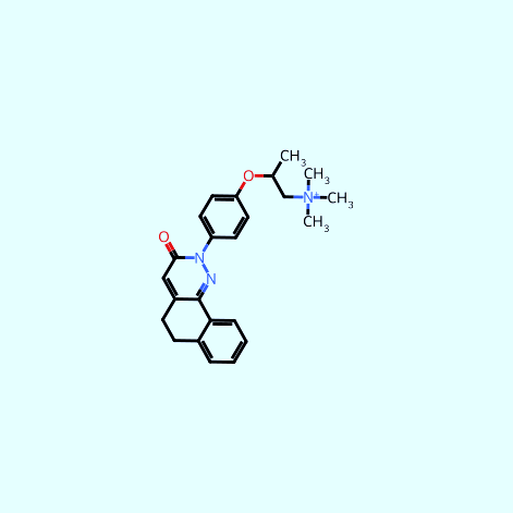 CC(C[N+](C)(C)C)Oc1ccc(-n2nc3c(cc2=O)CCc2ccccc2-3)cc1